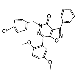 COc1ccc(OC)c(-c2nn(Cc3ccc(Cl)cc3)c(=O)c3c(-c4ccccc4)noc23)c1